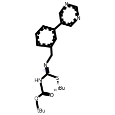 CC[C@@H](C)S/C(=N\Cc1cccc(-c2cncnc2)c1)NC(=O)OC(C)(C)C